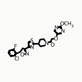 COc1ncc(OCC(=O)N2CCC(c3nc(C4=NOC(c5c(F)cccc5Cl)C4)cs3)CC2)cn1